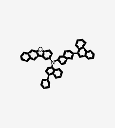 c1ccc(-c2ccc(N(c3ccc4cc(-c5cc6ccccc6c6ccccc56)ccc4c3)c3ccc4oc5cc6ccccc6cc5c4c3)c3ccccc23)cc1